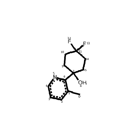 Cc1cccnc1C1(O)CCC(F)(F)CC1